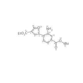 CCOC(=O)c1cc(-c2ccc(C(=O)OC(C)(C)C)cc2N)on1